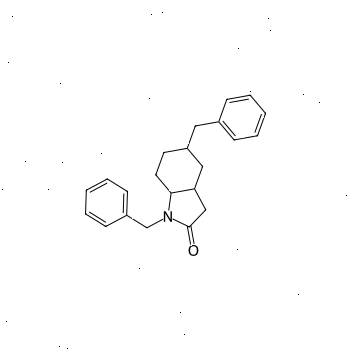 O=C1CC2CC(Cc3ccccc3)CCC2N1Cc1ccccc1